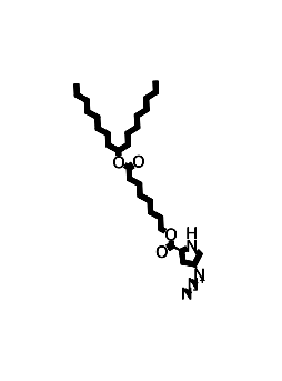 CCCCCCCCC(CCCCCCCC)OC(=O)CCCCCCCOC(=O)[C@@H]1C[C@@H](N=[N+]=[N-])CN1